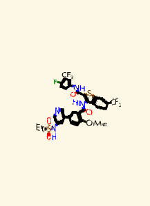 CCS(=O)(=O)Nc1cncc(-c2ccc(OC)c(C(=O)Nc3c(C(=O)Nc4ccc(F)c(C(F)(F)F)c4)sc4cc(C(F)(F)F)ccc34)c2)c1